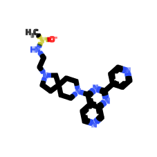 C[S+]([O-])NCCN1CCC2(CCN(c3nc(-c4ccncc4)nc4cnccc34)CC2)C1